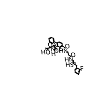 C[C@H](O)C(=O)NS(=O)(=O)c1c(-c2ccccc2)ccc(C(=O)NCCC(=O)NC[C@H](S)Cc2ccccc2F)c1F